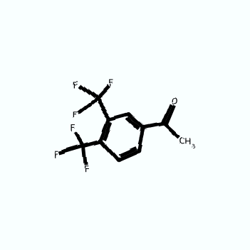 CC(=O)c1ccc(C(F)(F)F)c(C(F)(F)F)c1